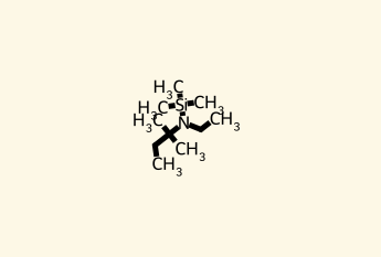 CCN(C(C)(C)CC)[Si](C)(C)C